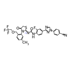 Cc1ccc(COCC(F)(F)F)c(N2C(=O)CS/C2=N\C(=O)Nc2ccc(-c3ncn(-c4ccc(C#N)cc4)n3)cc2F)c1